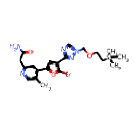 Cc1cnc(CC(N)=O)cc1-c1cc(-c2ncn(COCC[Si](C)(C)C)n2)c(Br)o1